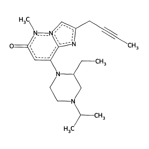 CC#CCc1cn2c(n1)c(N1CCN(C(C)C)CC1CC)cc(=O)n2C